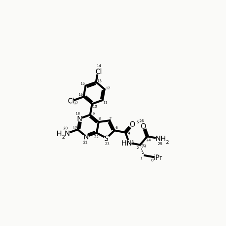 CC(C)C[C@H](NC(=O)c1cc2c(-c3ccc(Cl)cc3Cl)nc(N)nc2s1)C(N)=O